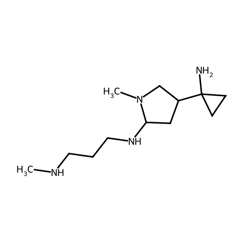 CNCCCNC1CC(C2(N)CC2)CN1C